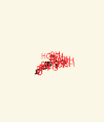 CC1CCC2(OC1)OC1CC3(O)C4CC=C5CC(OC6OC(CO)C(O)C(OC7OCC(O)C(O)C7O)C6OC6OC(C)C(O)C(O)C6O)CCC5(C)C4CCC3(C)C1(O)C2C